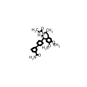 CNC(=O)N1N=C(c2ccc(-c3cccc(C(N)=O)c3)cc2)c2cc(OC)c(OC)cc2CC1C